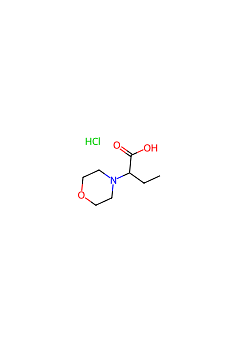 CCC(C(=O)O)N1CCOCC1.Cl